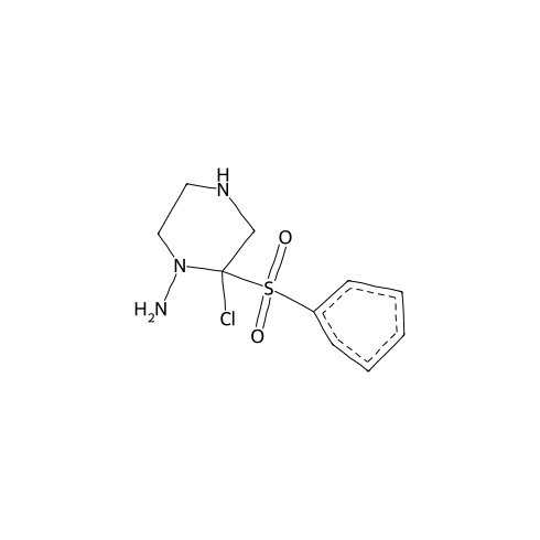 NN1CCNCC1(Cl)S(=O)(=O)c1ccccc1